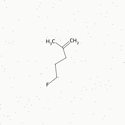 C=C(C)CC[CH]F